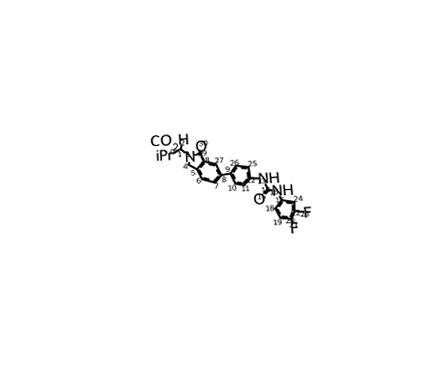 CC(C)C(C(=O)O)N1Cc2ccc(-c3ccc(NC(=O)Nc4ccc(F)c(F)c4)cc3)cc2C1=O